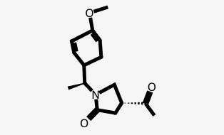 COC1=CCC([C@H](C)N2C[C@H](C(C)=O)CC2=O)C=C1